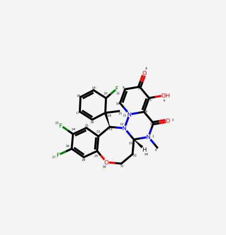 CN1C(=O)c2c(O)c(=O)ccn2N2[C@H](C3(C)C=CC=CC3F)c3cc(F)c(F)cc3OCC[C@@H]12